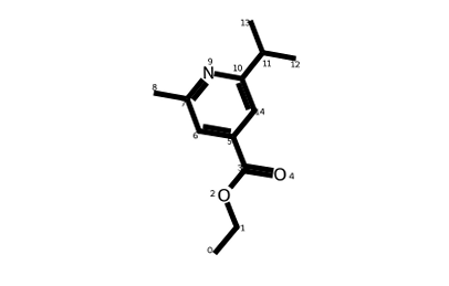 CCOC(=O)c1cc(C)nc(C(C)C)c1